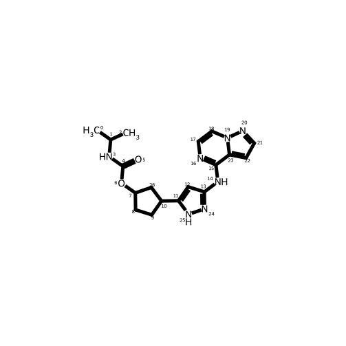 CC(C)NC(=O)OC1CCC(c2cc(Nc3nccn4nccc34)n[nH]2)C1